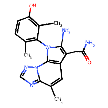 Cc1ccc(O)c(C)c1-n1c(N)c(C(N)=O)c2cc(C)c3ncnn3c21